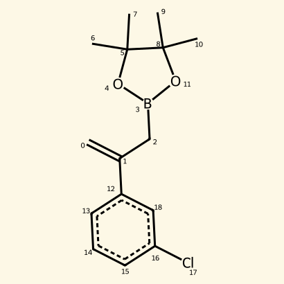 C=C(CB1OC(C)(C)C(C)(C)O1)c1cccc(Cl)c1